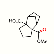 COC(=O)C12CCCC1(C(=O)O)C1CCC2C1